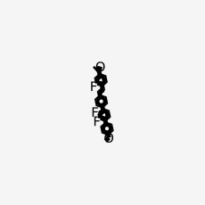 COC1CCC(c2ccc(C3CCC(/C=C/c4ccc(C5CO5)cc4F)CC3)c(F)c2F)CC1